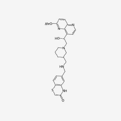 COc1ccc2nccc(C(O)CN3CCCC(CNCc4ccc5c(c4)NC(=O)CS5)C3)c2n1